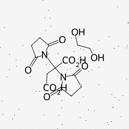 O=C(O)CC(C(=O)O)(N1C(=O)CCC1=O)N1C(=O)CCC1=O.OCCO